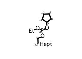 CCCCCCCCOP(OCC)OC1CCCC1